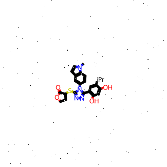 CC(C)c1cc(-c2nnc(SC3CCOC3=O)n2-c2ccc3c(ccn3C)c2)c(O)cc1O